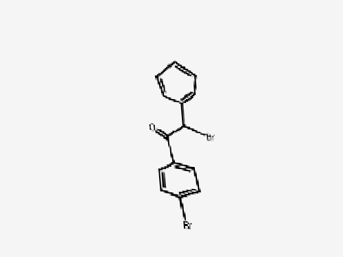 O=C(c1ccc(Br)cc1)C(Br)c1ccccc1